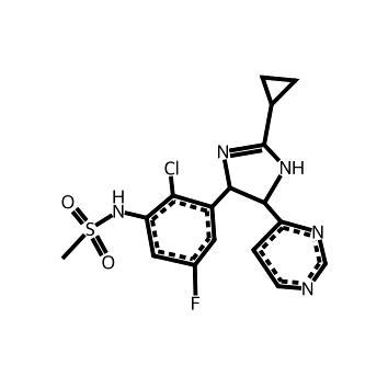 CS(=O)(=O)Nc1cc(F)cc(C2N=C(C3CC3)NC2c2ccncn2)c1Cl